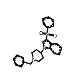 O=S(=O)(c1ccccc1)c1cn(C2CCN(Cc3ccccc3)CC2)c2ccccc12